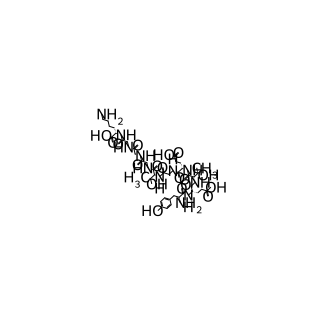 C[C@@H](O)[C@H](NC(=O)CNC(=O)[C@H](CCC(=O)O)NC(=O)[C@@H](NC(=O)[C@H](CCC(=O)O)NC(=O)[C@@H](N)Cc1ccc(O)cc1)[C@@H](C)O)C(=O)NCC(=O)NCC(=O)NCC(=O)N[C@@H](CCCCN)C(=O)O